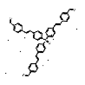 O=Cc1ccc(/C=C/c2ccc(P(=O)(c3ccc(/C=C/c4ccc(C=O)cc4)cc3)c3ccc(/C=C/c4ccc(C=O)cc4)cc3)cc2)cc1